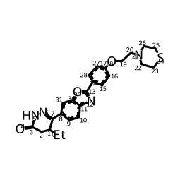 CCC1CC(=O)NN=C1c1ccc2nc(-c3ccc(OCCN4CCSCC4)cc3)oc2c1